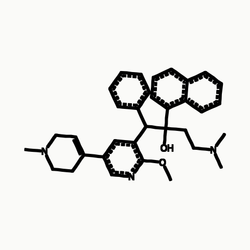 COc1ncc(C2=CCN(C)CC2)cc1C(c1ccccc1)C(O)(CCN(C)C)c1cccc2ccccc12